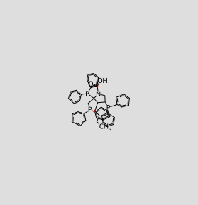 CCCCC1C(P(c2ccccc2)c2ccccc2)CN(C(=O)O)C1(CP(c1ccccc1)c1ccccc1)P(c1ccccc1)c1ccccc1